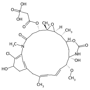 CO[C@@H]1/C=C/C=C(\C)CC2=CC(=C(Cl)C(O)C2)N(C)C(=O)C[C@H](OC(=O)CP(=O)(O)O)[C@]2(C)O[C@H]2[C@H](C)[C@@H]2C[C@@]1(O)NC(=O)O2